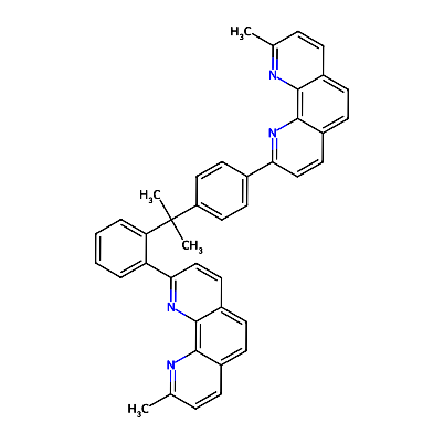 Cc1ccc2ccc3ccc(-c4ccc(C(C)(C)c5ccccc5-c5ccc6ccc7ccc(C)nc7c6n5)cc4)nc3c2n1